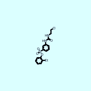 CCc1ccccc1OS(=O)(=O)c1cccc(NC(=O)NCCCl)c1